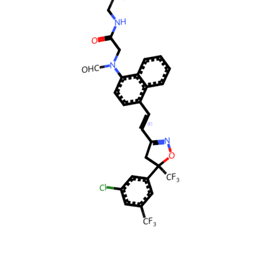 O=CN(CC(=O)NCC(F)(F)F)c1ccc(/C=C/C2=NOC(c3cc(Cl)cc(C(F)(F)F)c3)(C(F)(F)F)C2)c2ccccc12